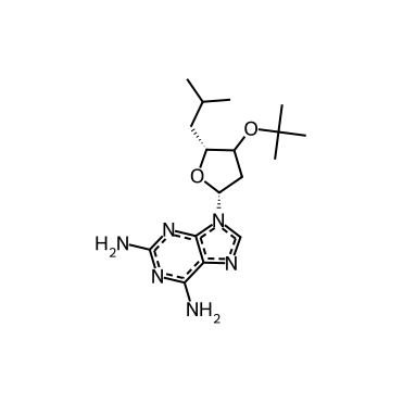 CC(C)C[C@H]1O[C@@H](n2cnc3c(N)nc(N)nc32)CC1OC(C)(C)C